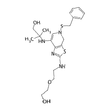 CC(C)(CO)NC1=CN(SCc2ccccc2)Cc2sc(NCCOCCO)nc21